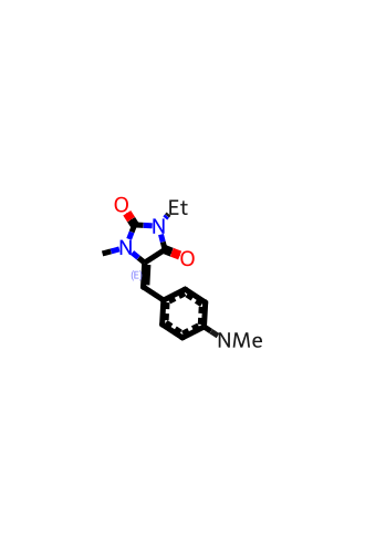 CCN1C(=O)/C(=C\c2ccc(NC)cc2)N(C)C1=O